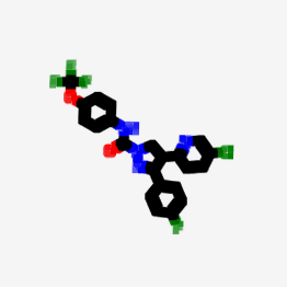 O=C(Nc1ccc(OC(F)(F)F)cc1)N1CC(c2ccc(Cl)cn2)C(c2ccc(F)cc2)=N1